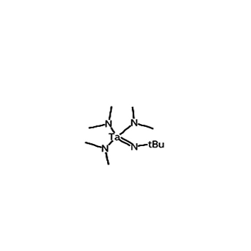 C[N](C)[Ta](=[N]C(C)(C)C)([N](C)C)[N](C)C